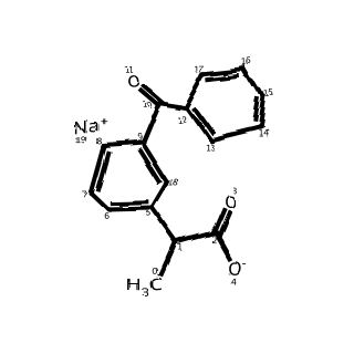 CC(C(=O)[O-])c1cccc(C(=O)c2ccccc2)c1.[Na+]